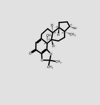 CC(=O)[C@H]1CC[C@H]2[C@@H]3CCC4=CC(=O)C5=C(OC(C)(C)O5)[C@]4(C)[C@H]3CC[C@]12C